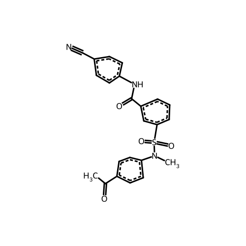 CC(=O)c1ccc(N(C)S(=O)(=O)c2cccc(C(=O)Nc3ccc(C#N)cc3)c2)cc1